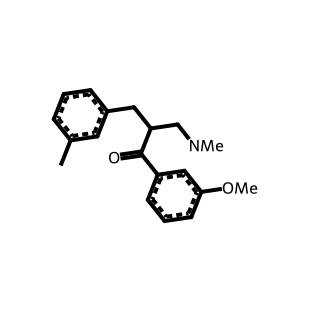 CNCC(Cc1cccc(C)c1)C(=O)c1cccc(OC)c1